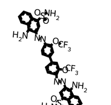 Nc1c(/N=N/c2ccc(-c3ccc(/N=N/c4cc(S(N)(=O)=O)c5ccccc5c4N)c(OC(F)(F)F)c3)cc2OC(F)(F)F)cc(S(N)(=O)=O)c2ccccc12